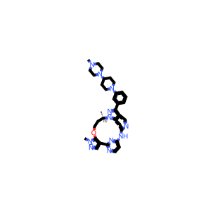 C[C@H]1CCOc2c(cnn2C)-c2nccc(n2)Nc2cc3c(cn2)c(-c2cccc(N4CCC(N5CCN(C)CC5)CC4)c2)nn31